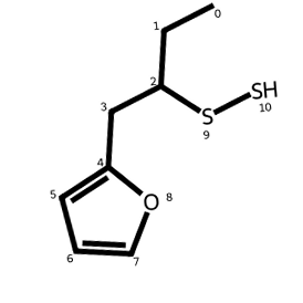 CCC(Cc1ccco1)SS